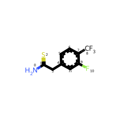 NC(=S)Cc1ccc(C(F)(F)F)c(F)c1